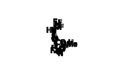 COc1ccc2ncc(CF)c(C(F)CCC3(C(=O)O)CCN(CCNc4cc(F)c(F)c(F)c4)CC3)c2c1